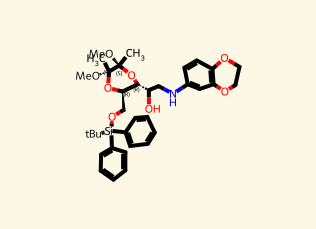 CO[C@@]1(C)O[C@H](C(O)CNc2ccc3c(c2)OCCO3)[C@@H](CO[Si](c2ccccc2)(c2ccccc2)C(C)(C)C)O[C@]1(C)OC